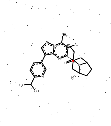 CC(=O)c1c([C@@H]2CC3CC[C@@H](C2)N3C(=O)CO)nc2c(-c3ccc(C(O)C(F)(F)F)nc3)cnn2c1N